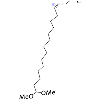 COC(CCCCCCCCCCCC/C=C\CCCl)OC